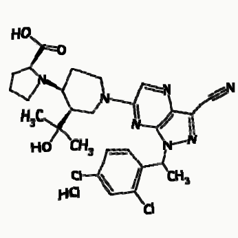 CC(c1ccc(Cl)cc1Cl)n1nc(C#N)c2ncc(N3CC[C@H](N4CCC[C@H]4C(=O)O)[C@H](C(C)(C)O)C3)nc21.Cl